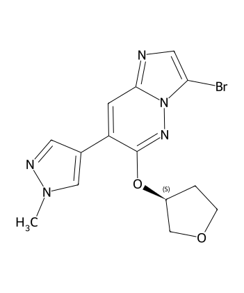 Cn1cc(-c2cc3ncc(Br)n3nc2O[C@H]2CCOC2)cn1